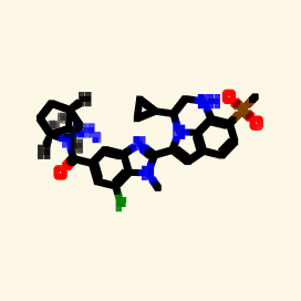 Cn1c(-c2cc3ccc(S(C)(=O)=O)c4c3n2C(C2CC2)CN4)nc2cc(C(=O)N3C[C@H]4CC[C@@H]3[C@@H]4N)cc(F)c21